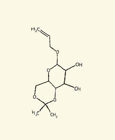 C=CCOC1OC2COC(C)(C)OC2C(O)C1O